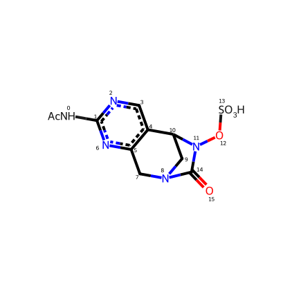 CC(=O)Nc1ncc2c(n1)CN1CC2N(OS(=O)(=O)O)C1=O